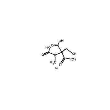 CN(C(=O)O)C(CS)(C(=O)O)C(=O)O.[Ni]